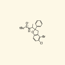 CC(N[S+]([O-])C(C)(C)C)C1(c2ccccc2)Cc2c(ccc(Cl)c2Br)O1